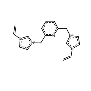 C=Cn1cc[n+](Cc2cccc(C[n+]3ccn(C=C)c3)n2)c1